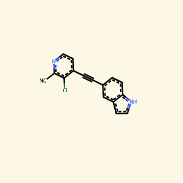 N#Cc1nccc(C#Cc2ccc3[nH]ccc3c2)c1Cl